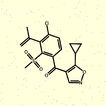 C=C(C)c1c(Cl)ccc(C(=O)c2cnoc2C2CC2)c1S(C)(=O)=O